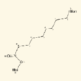 CCCCCCCCCCCCCCCCSC(=O)OC(C)(C)C